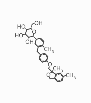 CC1=C(Cc2ccc(OCC3(C)OCc4ccc(C)cc43)cc2)CC([C@@H]2O[C@H](CO)[C@@H](O)[C@H](O)[C@H]2O)C=C1